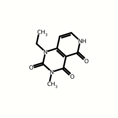 CCn1c(=O)n(C)c(=O)c2c(=O)[nH]ccc21